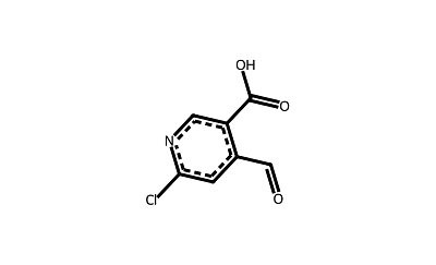 O=Cc1cc(Cl)ncc1C(=O)O